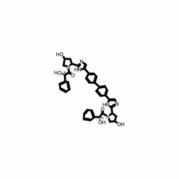 O=C([C@H](O)c1ccccc1)N1CC(O)CC1c1ncc(-c2ccc(-c3ccc(-c4cnc(C5CC(O)CN5C(=O)[C@H](O)c5ccccc5)[nH]4)cc3)cc2)[nH]1